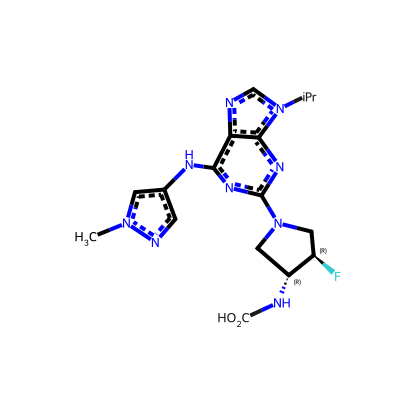 CC(C)n1cnc2c(Nc3cnn(C)c3)nc(N3C[C@@H](F)[C@H](NC(=O)O)C3)nc21